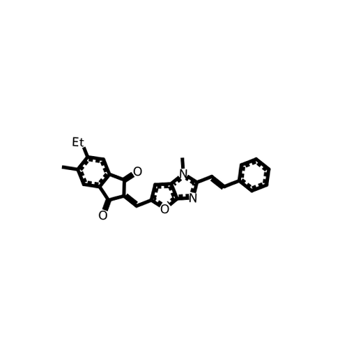 CCc1cc2c(cc1C)C(=O)/C(=C/c1cc3c(nc(/C=C/c4ccccc4)n3C)o1)C2=O